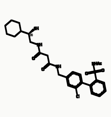 CC(=O)NS(=O)(=O)c1ccccc1-c1ccc(CNC(=O)CC(=O)NC[C@H](S)C2CCCCC2)cc1Cl